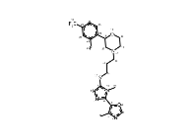 Cc1ncoc1-c1nnc(SCCCN2CCOC(c3ccc(C(F)(F)F)cc3F)C2)n1C